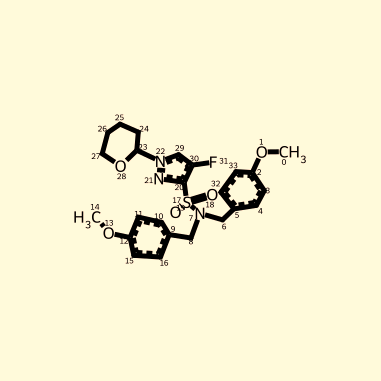 COc1ccc(CN(Cc2ccc(OC)cc2)S(=O)(=O)c2nn(C3CCCCO3)cc2F)cc1